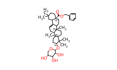 CC1(C)CC[C@]2(C(=O)OCc3ccccc3)CCC3C(=CCC4[C@@]3(C)CCC3C(C)(C)[C@@H](OC5OCC(O)C(O)C5O)CC[C@@]34C)C2C1